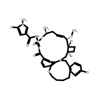 CO[C@H]1/C=C/C[C@H](C)CS(=O)(NC(=O)c2cc(Cl)n(C)c2)=NC(=O)c2ccc3c(c2)N(Cc2ccc(Cl)cc2CCCCO3)C[C@@H]2CC[C@H]21